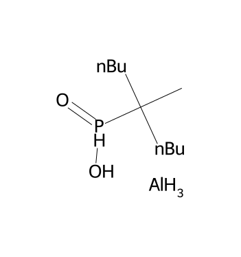 CCCCC(C)(CCCC)[PH](=O)O.[AlH3]